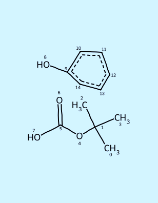 CC(C)(C)OC(=O)O.Oc1ccccc1